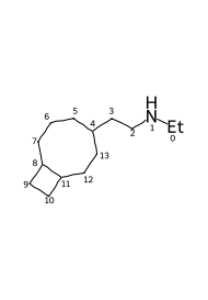 CCNCCC1CCCC2CCC2CC1